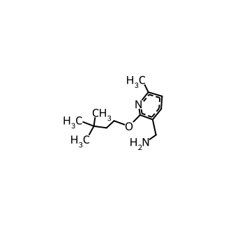 Cc1ccc(CN)c(OCCC(C)(C)C)n1